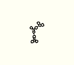 c1ccc(N(c2ccc(-c3ccc(-n4c5ccccc5c5ccccc54)cc3)cc2)c2ccc(-c3cc4ccccc4c4ccccc34)cc2)cc1